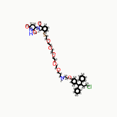 CN(CCCOCCOCCOCCOCCOCCSc1cccc2c1CN(C1CCC(=O)NC1=O)C2=O)CCOc1ccc(/C(=C(/CCCl)c2ccccc2)c2ccccc2)cc1